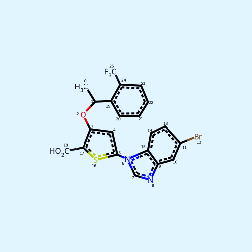 CC(Oc1cc(-n2cnc3cc(Br)ccc32)sc1C(=O)O)c1ccccc1C(F)(F)F